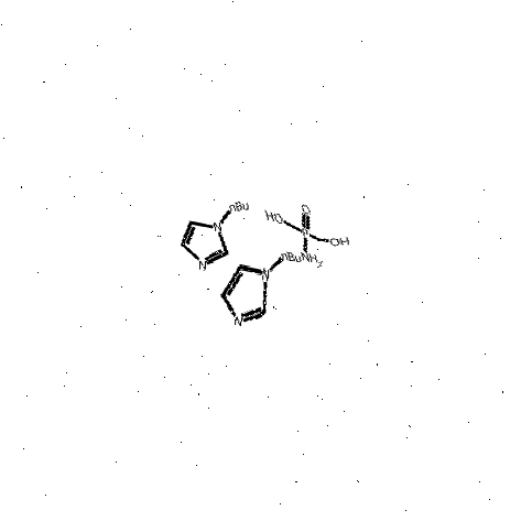 CCCCn1ccnc1.CCCCn1ccnc1.NP(=O)(O)O